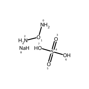 NON.O=S(=O)(O)O.[NaH]